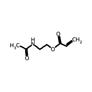 C=CC(=O)OCCNC(C)=O